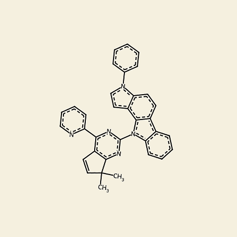 CC1(C)C=Cc2c(-c3ccccn3)nc(-n3c4ccccc4c4ccc5c(ccn5-c5ccccc5)c43)nc21